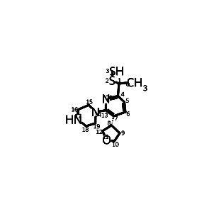 CC(SS)c1ccc([C@@H]2CCOC2)c(N2CCNCC2)n1